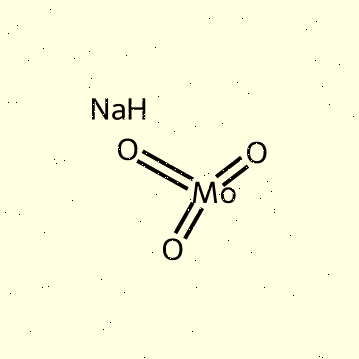 [NaH].[O]=[Mo](=[O])=[O]